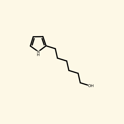 OCCCCCCc1ccc[nH]1